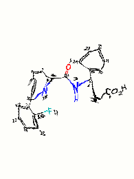 O=C(O)CC(NC(=O)c1cccc(-c2ccccc2F)n1)c1ccccc1